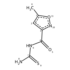 Cc1cc(C(=O)NC(N)=S)no1